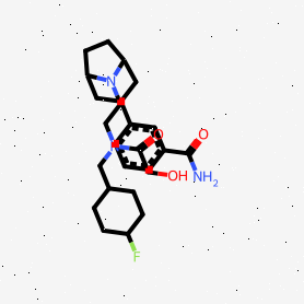 NC(=O)c1cccc(C2CC3CCC(C2)N3CCN(CC2CCC(F)CC2)C(=O)CO)c1